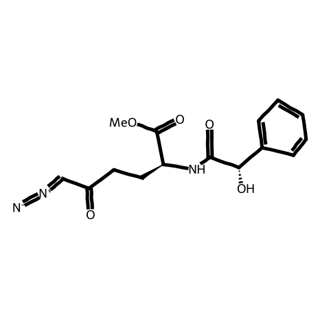 COC(=O)[C@H](CCC(=O)C=[N+]=[N-])NC(=O)[C@@H](O)c1ccccc1